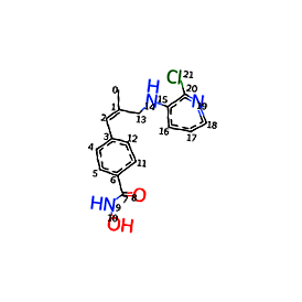 CC(=Cc1ccc(C(=O)NO)cc1)CNc1cccnc1Cl